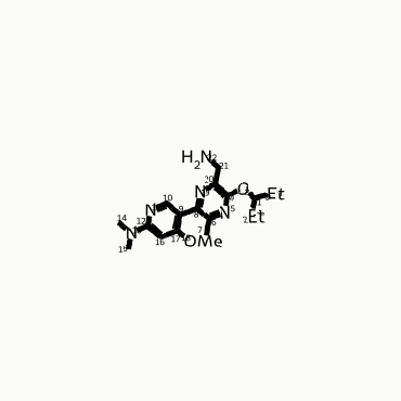 CCC(CC)Oc1nc(C)c(-c2cnc(N(C)C)cc2OC)nc1CN